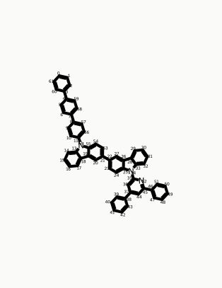 c1ccc(-c2ccc(-c3ccc(-n4c5ccccc5c5cc(-c6ccc7c(c6)c6ccccc6n7-c6cc(-c7ccccc7)cc(-c7ccccc7)n6)ccc54)cc3)cc2)cc1